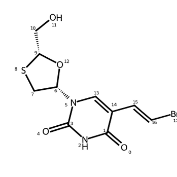 O=c1[nH]c(=O)n([C@@H]2CS[C@H](CO)O2)cc1C=CBr